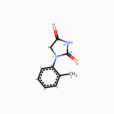 Cc1ccccc1N1CC(=O)NC1=O